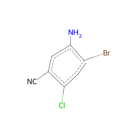 N#Cc1cc(N)c(Br)cc1Cl